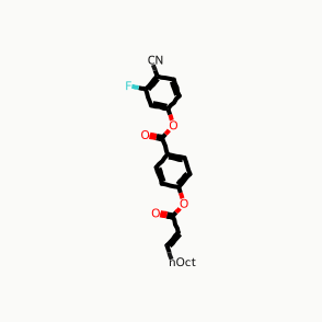 CCCCCCCC/C=C/C(=O)Oc1ccc(C(=O)Oc2ccc(C#N)c(F)c2)cc1